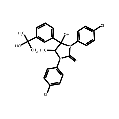 CC1N(c2ccc(Cl)cc2)C(=O)N(c2ccc(Cl)cc2)C1(O)c1cccc(C(C)(C)O)c1